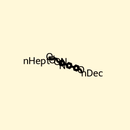 CCCCCCCCCCCOc1ccc(-c2ccc(-c3ncc(OC[C@H](C)OC(=O)CCCCCCC)cn3)cc2)cc1